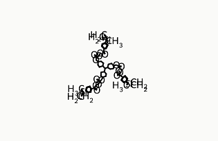 C=C[Si](C)(C=C)c1ccc(C(=O)OOC(=O)OC2CCC(C(C3CCC(OC(=O)OOC(=O)c4ccc([Si](C)(C=C)C=C)cc4)CC3)C3CCC(OC(=O)OOC(=O)c4ccc([Si](C)(C=C)C=C)cc4)CC3)CC2)cc1